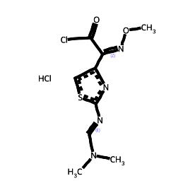 CO/N=C(\C(=O)Cl)c1csc(/N=C/N(C)C)n1.Cl